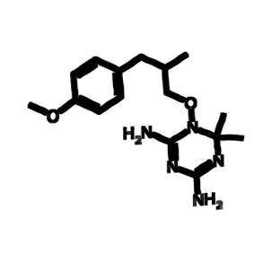 COc1ccc(CC(C)CON2C(N)=NC(N)=NC2(C)C)cc1